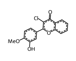 COc1ccc(-c2oc3ccccc3c(=O)c2Cl)cc1O